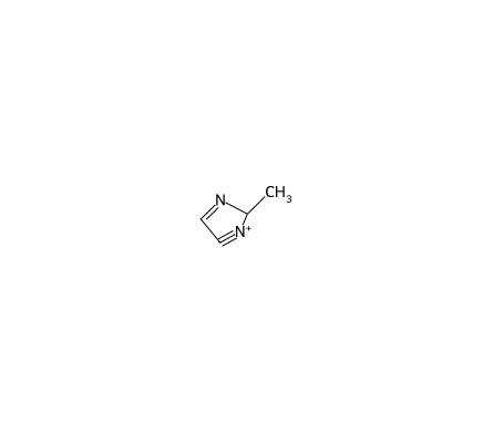 CC1N=CC#[N+]1